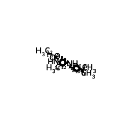 CCCOC(=O)Nc1ccc(NCc2ccc(C(C)C)cc2)cc1C